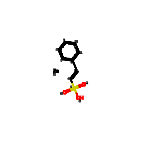 O=S(=O)(O)C=Cc1ccccc1.[Zn]